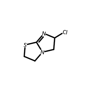 ClC1CN2CCSC2=N1